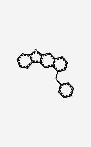 c1ccc(Nc2cccc3cc4oc5ccccc5c4cc23)cc1